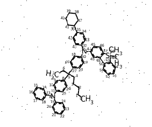 CCCCCC(CC)(c1ccc(N(c2ccccc2)c2ccccc2)cc1)c1ccc(N(c2ccc(C3CCCCC3)cc2)c2ccc3c(c2)-c2ccccc2[Si]3(C)C)cc1